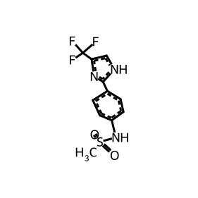 CS(=O)(=O)Nc1ccc(-c2nc(C(F)(F)F)c[nH]2)cc1